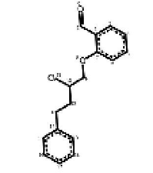 O=Cc1ccccc1OCC(Cl)CCc1ccccc1